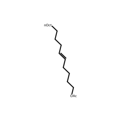 CCCCCCCCCCCC=CCCCCOC(C)=O